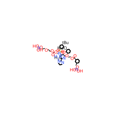 C=C(/N=C(OCCOC(=O)c1cccc(CON(O)O)c1)\C(Oc1ccccc1OC)=C(/N)N(COC(=O)OCCOCCON(O)O)S(=O)(=O)c1ccc(C(C)(C)C)cc1)c1ncccn1